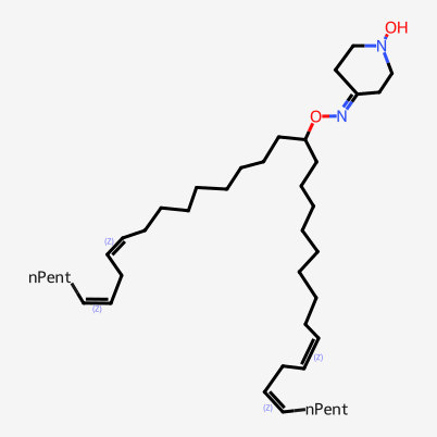 CCCCC/C=C\C/C=C\CCCCCCCCC(CCCCCCCC/C=C\C/C=C\CCCCC)ON=C1CCN(O)CC1